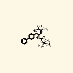 C/C(=C/C(Cc1ccc(-c2ccccc2)cc1)NC(=O)OC(C)(C)C)C(O)O